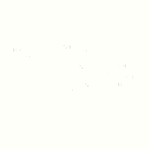 COc1ccc2[nH]c(C(=O)N3CC(=O)N(Cc4ccccc4)[C@@H](COC(C)(C)C)C3)cc2c1